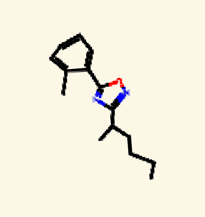 [CH2]C(CCCC)c1noc(-c2ccccc2C)n1